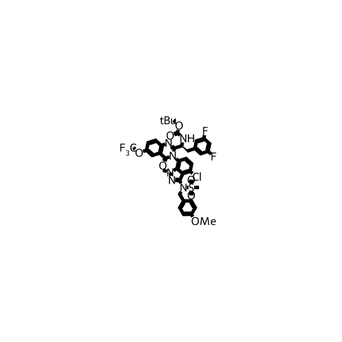 COc1ccc(CN(c2nn(C)c3c(-n4c([C@H](Cc5cc(F)cc(F)c5)NC(=O)OC(C)(C)C)nc5ccc(OC(F)(F)F)cc5c4=O)ccc(Cl)c23)S(C)(=O)=O)cc1